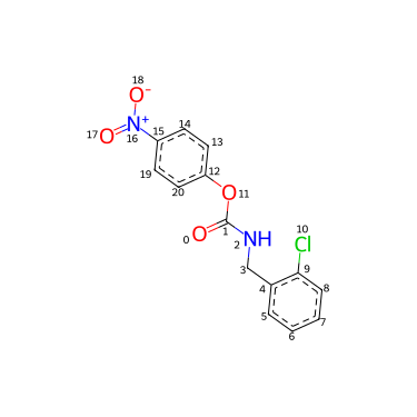 O=C(NCc1ccccc1Cl)Oc1ccc([N+](=O)[O-])cc1